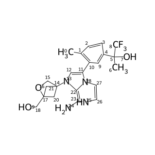 Cc1ccc(C(C)(O)C(F)(F)F)cc1C1=CN(C23COC(CO)(C2)C3)C2=C(N)NC=CN12